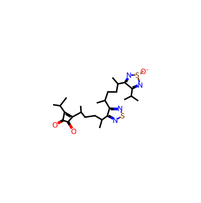 CC(C)c1n[s+]([O-])nc1C(C)CCC(C)c1nsnc1C(C)CCC(C)c1c(C(C)C)c(=O)c1=O